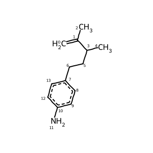 C=C(C)C(C)CCc1ccc(N)cc1